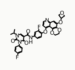 CC(C)n1cc(C(=O)Nc2ccc(Oc3ccnc4cc(OC5COC5)c5c(c34)OCCO5)c(F)c2)c(=O)n(-c2ccc(F)cc2)c1=O